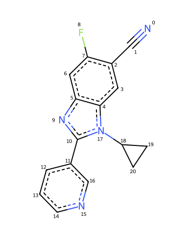 N#Cc1cc2c(cc1F)nc(-c1cccnc1)n2C1CC1